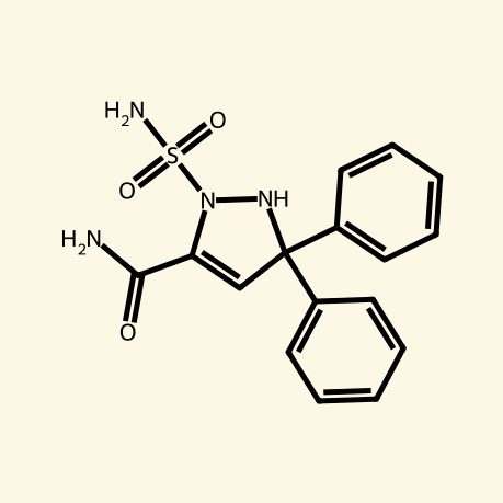 NC(=O)C1=CC(c2ccccc2)(c2ccccc2)NN1S(N)(=O)=O